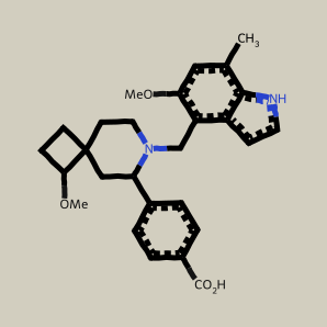 COc1cc(C)c2[nH]ccc2c1CN1CCC2(CCC2OC)CC1c1ccc(C(=O)O)cc1